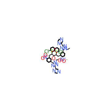 CCn1nc(-c2cnccn2)nc1-c1ccc([N+](=O)[O-])c(CC(C(=O)C(Cc2cc(-c3nc(-c4cnccn4)nn3CC)ccc2[N+](=O)[O-])c2c(F)cccc2Cl)c2c(F)cccc2Cl)c1